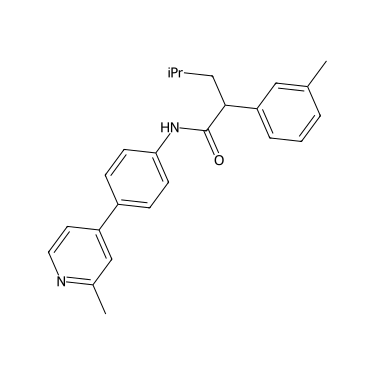 Cc1cccc(C(CC(C)C)C(=O)Nc2ccc(-c3ccnc(C)c3)cc2)c1